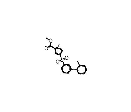 COC(=O)c1cc(S(=O)(=O)c2cccc(-c3ccccc3C)c2)cs1